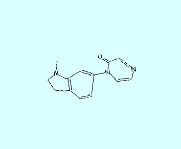 CN1CCc2ccc(-n3ccncc3=O)cc21